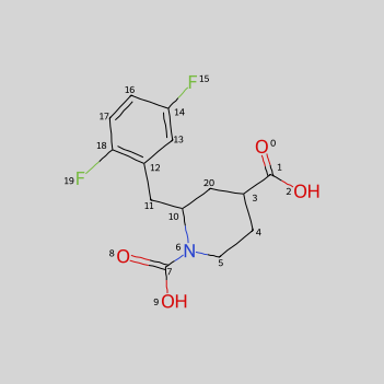 O=C(O)C1CCN(C(=O)O)C(Cc2cc(F)ccc2F)C1